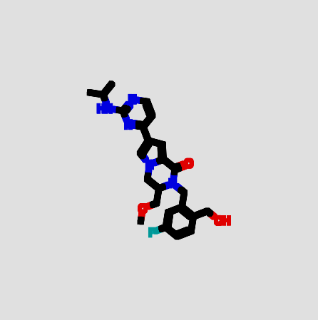 COCC1Cn2cc(-c3ccnc(NC(C)C)n3)cc2C(=O)N1Cc1cc(F)ccc1CO